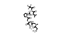 CC(C)[C@H](NC(=O)[C@@H]1CCCN1C(=O)C[C@H](NC(=O)CN(C)C(=O)CN)C(N)=O)C(=O)OC(=O)C(F)(F)F